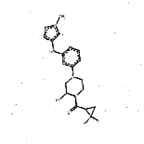 CCC1CN(c2ccnc(Nc3cnn(C)c3)n2)CCN1C(=O)C1CC1(F)F